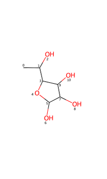 CC(O)C1OC(O)C(O)C1O